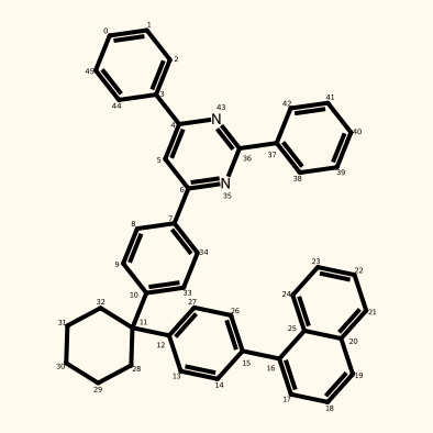 c1ccc(-c2cc(-c3ccc(C4(c5ccc(-c6cccc7ccccc67)cc5)CCCCC4)cc3)nc(-c3ccccc3)n2)cc1